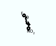 O=C(CCCN1CC2CC(c3ccc([N+](=O)[O-])cc3)C2C1)c1ccc(F)cc1